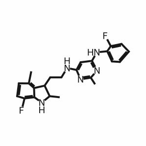 Cc1nc(NCCC2c3c(C)ccc(F)c3NC2C)cc(Nc2ccccc2F)n1